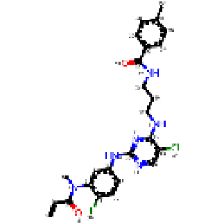 C=CC(=O)N(C)c1cc(Nc2ncc(Cl)c(NCCCNC(=O)c3ccc(C)cc3)n2)ccc1F